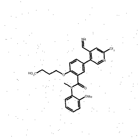 COc1ccccc1N(C)C(=O)c1cc(-c2cnc(C(F)(F)F)cc2C=N)ccc1OCCCC(=O)O